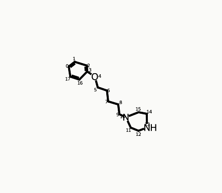 c1ccc(OCCCCCN2CCNCC2)cc1